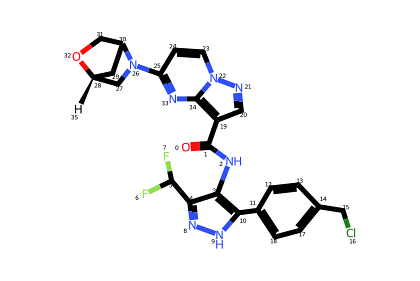 O=C(Nc1c(C(F)F)n[nH]c1-c1ccc(CCl)cc1)c1cnn2ccc(N3C[C@H]4CC3CO4)nc12